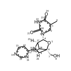 Cc1cn([C@@H]2O[C@@]3(CO)CN(c4ccncn4)[C@@H]2[C@@H]3O)c(=O)[nH]c1=O